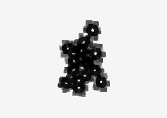 c1ccc(-c2ccc(N(c3cc(-c4ccc5c(c4)C4(c6ccccc6-c6ccc(-c7ccccc7)cc64)c4ccccc4-5)cc(N(c4ccc(-c5ccccc5)cc4)c4ccccc4-c4ccccc4)c3)c3ccccc3-c3ccccc3)cc2)cc1